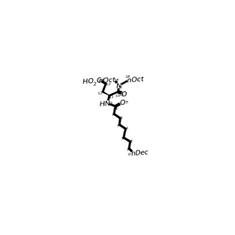 CCCCCCCCCCCCCCCCCC(=O)N[C@@H](CCC(=O)O)C(=O)N(CCCCCCCC)CCCCCCCC